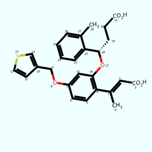 CC(=CC(=O)O)c1ccc(OCc2ccsc2)cc1O[C@@H](CCC(=O)O)c1ccccc1C